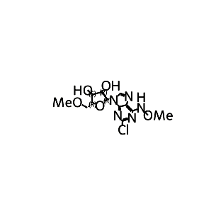 COC[C@H]1O[C@@H](n2cnc3c(NOC)nc(Cl)nc32)[C@H](O)[C@@H]1O